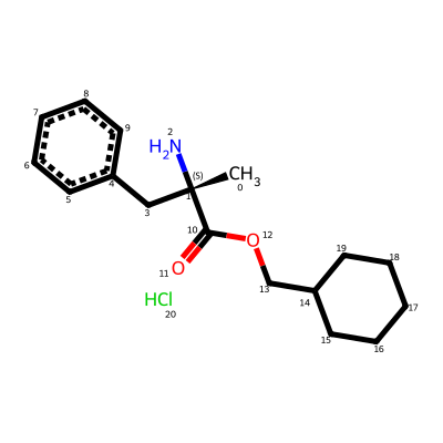 C[C@](N)(Cc1ccccc1)C(=O)OCC1CCCCC1.Cl